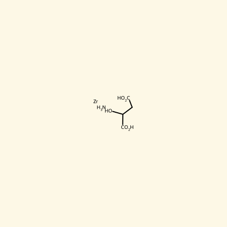 N.O=C(O)CC(O)C(=O)O.[Zr]